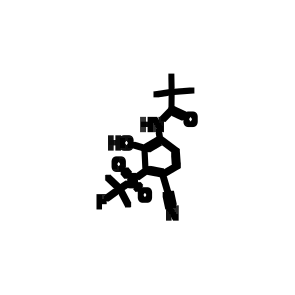 CC(C)(C)C(=O)Nc1ccc(C#N)c(S(=O)(=O)C(C)(C)F)c1O